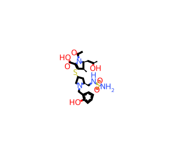 CC(=O)N1C(C(=O)O)=C(S[C@H]2C[C@@H](CNS(N)(=O)=O)N(Cc3ccccc3O)C2)[C@H](C)[C@@H]1C[C@@H](C)O